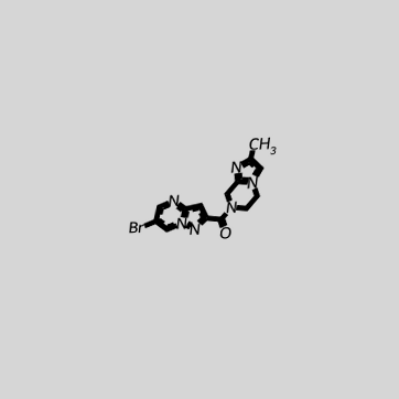 Cc1cn2c(n1)CN(C(=O)c1cc3ncc(Br)cn3n1)CC2